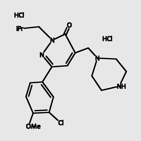 COc1ccc(-c2cc(CN3CCNCC3)c(=O)n(CC(C)C)n2)cc1Cl.Cl.Cl